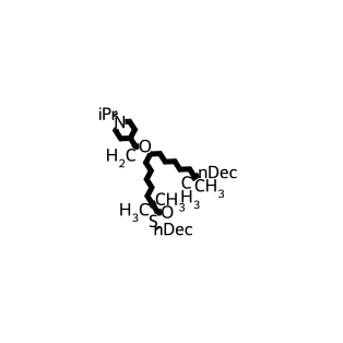 C=C(OC(CCCCCC(C)(C)CCCCCCCCCC)CCCCCC(C)(C)C(=O)SCCCCCCCCCC)C1CCN(C(C)C)CC1